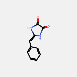 O=C1NC(=Cc2ccccc2)NC1=O